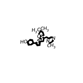 Cc1cncc(CC(Cc2ccc(-c3ccc(O)cc3)s2)P2(=O)CCC(C)(C)CO2)n1